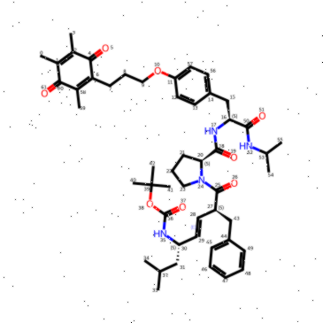 CC1=C(C)C(=O)C(CCCOc2ccc(C[C@H](NC(=O)[C@@H]3CCCN3C(=O)[C@H](/C=C/[C@H](CC(C)C)NC(=O)OC(C)(C)C)Cc3ccccc3)C(=O)NC(C)C)cc2)=C(C)C1=O